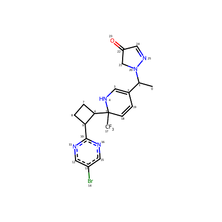 CC(C1=CNC(C2CCC2c2ncc(Br)cn2)(C(F)(F)F)C=C1)N1CC(=O)C=N1